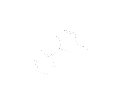 Cc1cc(-c2ccccc2)n[c]n1